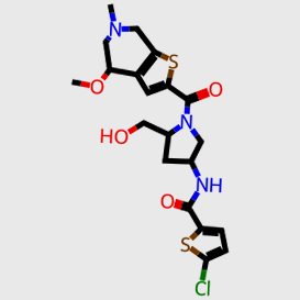 COC1CN(C)Cc2sc(C(=O)N3CC(NC(=O)c4ccc(Cl)s4)CC3CO)cc21